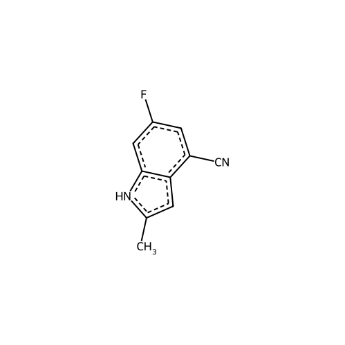 Cc1cc2c(C#N)cc(F)cc2[nH]1